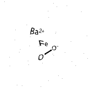 [Ba+2].[Fe].[O-][O-]